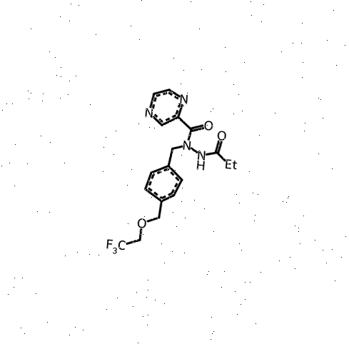 CCC(=O)NN(Cc1ccc(COCC(F)(F)F)cc1)C(=O)c1cnccn1